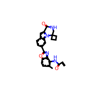 C=CC(=O)Nc1c(C)ccc2oc(-c3ccc4cc5n(c4c3)C3(CCC3)CNC5=O)nc12